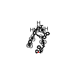 CC(C)[C@H](NC(=O)OCC1c2ccccc2-c2ccccc21)C(=O)N[C@@H](C)C(=O)Nc1ccc(COC(=O)Oc2ccc([N+](=O)[O-])cc2)c(C#CCOCCCS(=O)(=O)OCC(C)(C)CCO[Si](c2ccccc2)(c2ccccc2)C(C)(C)C)c1